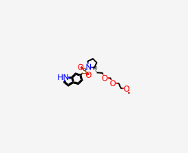 COCCOCOCC[C@H]1CCCN1S(=O)(=O)c1ccc2cc[nH]c2c1